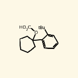 CC(C)(C)c1ccccc1C1(OC(=O)O)CCCCC1